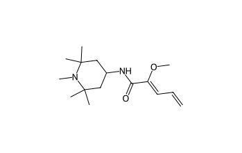 C=C/C=C(\OC)C(=O)NC1CC(C)(C)N(C)C(C)(C)C1